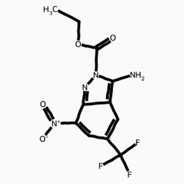 CCOC(=O)n1nc2c([N+](=O)[O-])cc(C(F)(F)F)cc2c1N